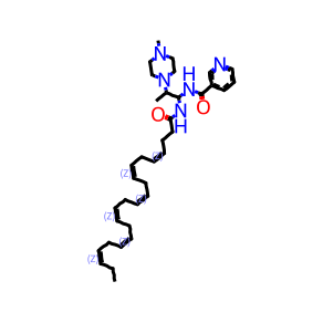 CC/C=C\C/C=C\C/C=C\C/C=C\C/C=C\C/C=C\CCC(=O)NC(NC(=O)c1cccnc1)C(C)N1CCN(C)CC1